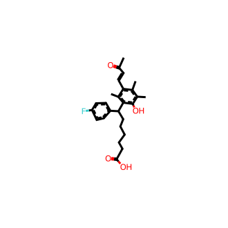 CC(=O)/C=C/c1c(C)c(C)c(O)c(C(CCCCCC(=O)O)c2ccc(F)cc2)c1C